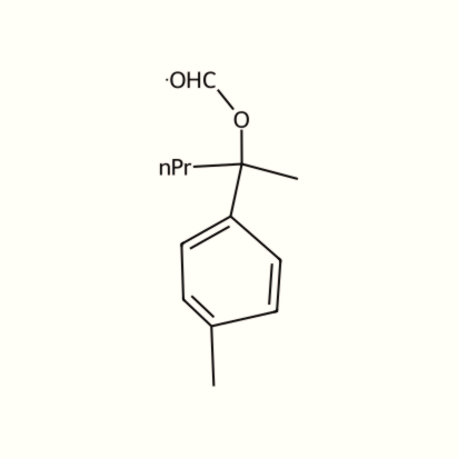 CCCC(C)(O[C]=O)c1ccc(C)cc1